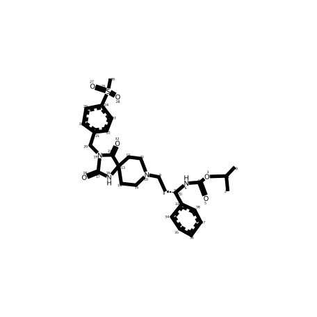 CC(C)OC(=O)N[C@@H](CCN1CCC2(CC1)NC(=O)N(Cc1ccc(S(C)(=O)=O)cc1)C2=O)c1ccccc1